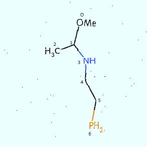 COC(C)NCCP